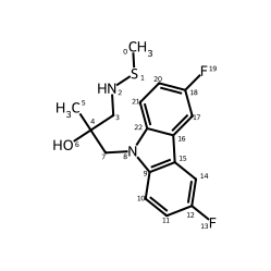 CSNCC(C)(O)Cn1c2ccc(F)cc2c2cc(F)ccc21